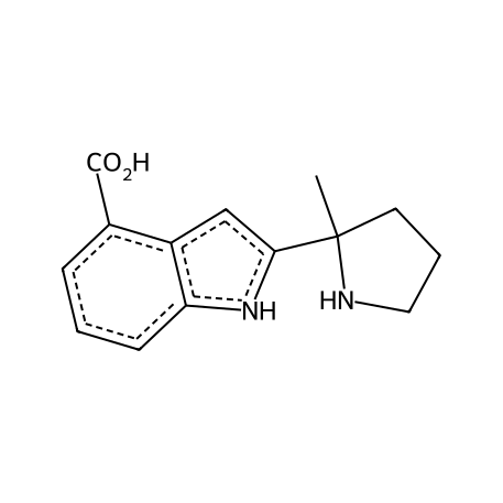 CC1(c2cc3c(C(=O)O)cccc3[nH]2)CCCN1